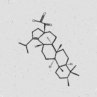 CC(C)C1=C2[C@H]3CC[C@@H]4[C@@]5(C)CC[C@H](C)C(C)(C)[C@@H]5CC[C@@]4(C)[C@]3(C)CC[C@@]2(C(=O)C(=O)Cl)CC1